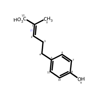 C/C(=C\CCc1ccc(O)cc1)C(=O)O